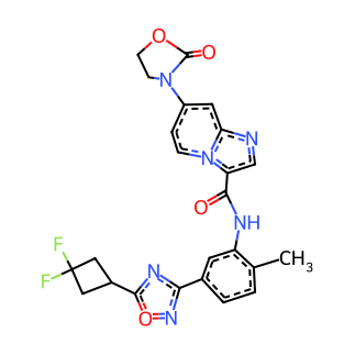 Cc1ccc(-c2noc(C3CC(F)(F)C3)n2)cc1NC(=O)c1cnc2cc(N3CCOC3=O)ccn12